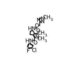 Cc1c2c(c(C(=O)Nc3ccc(F)c(Cl)c3)n1C)CCC2NC(=O)OCc1ncn(C)n1